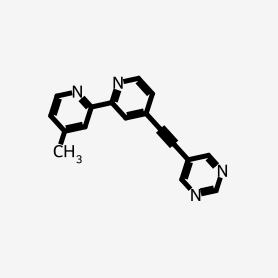 Cc1ccnc(-c2cc(C#Cc3cncnc3)ccn2)c1